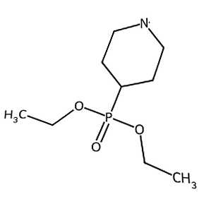 CCOP(=O)(OCC)C1CC[N]CC1